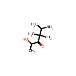 CC(O)C(=O)C(C)(C)C(C)N